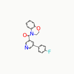 O=C(c1cncc(-c2ccc(F)cc2)c1)N1CCOc2ccccc21